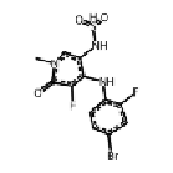 Cn1cc(N[SH](=O)=O)c(Nc2ccc(Br)cc2F)c(F)c1=O